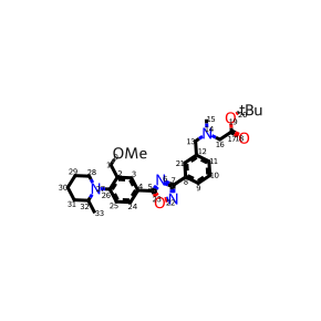 COCc1cc(-c2nc(-c3cccc(CN(C)CC(=O)OC(C)(C)C)c3)no2)ccc1N1CCCCC1C